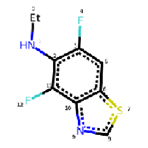 CCNc1c(F)cc2scnc2c1F